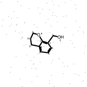 OCc1cccc2c1OCCC2